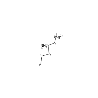 CCCC[CH2][Mg+2].N